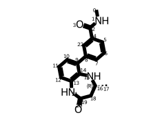 CNC(=O)c1cccc(-c2cccc3c2N[C@H](C)CC(=O)N3)c1